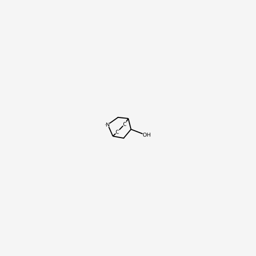 OC1CC2CCC1C[N]2